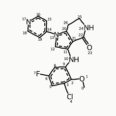 COc1c(Cl)cc(F)cc1Nc1cn(-c2ccncc2)c2c1C(=O)NCC2